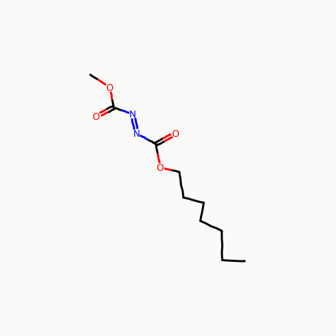 CCCCCCCOC(=O)N=NC(=O)OC